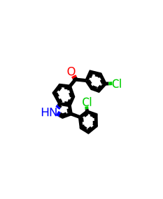 O=C(c1ccc(Cl)cc1)c1ccc2[nH]cc(-c3ccccc3Cl)c2c1